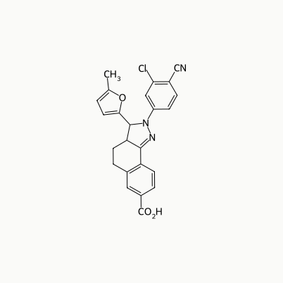 Cc1ccc(C2C3CCc4cc(C(=O)O)ccc4C3=NN2c2ccc(C#N)c(Cl)c2)o1